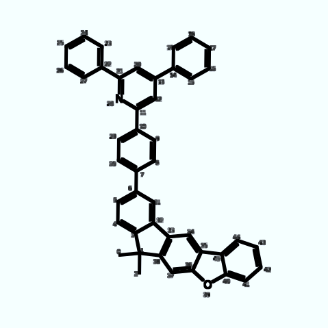 CC1(C)c2ccc(-c3ccc(-c4cc(-c5ccccc5)cc(-c5ccccc5)n4)cc3)cc2-c2cc3c(cc21)oc1ccccc13